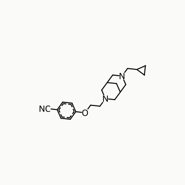 N#Cc1ccc(OCCN2CC3CC(C2)CN(CC2CC2)C3)cc1